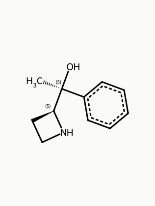 C[C@](O)(c1ccccc1)[C@@H]1CCN1